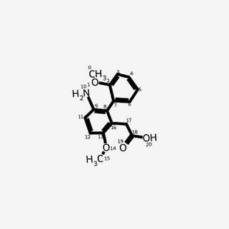 COc1ccccc1-c1c(N)ccc(OC)c1CC(=O)O